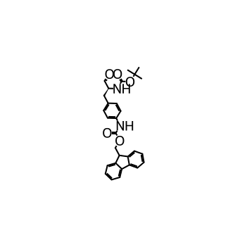 CC(C)(C)OC(=O)N[C@H](C=O)Cc1ccc(NC(=O)OCC2c3ccccc3-c3ccccc32)cc1